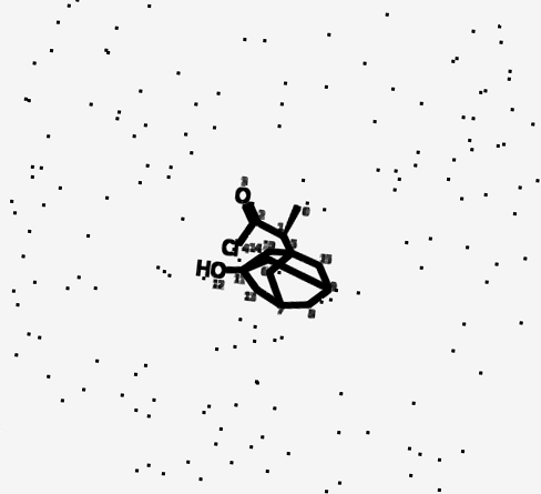 C[C@H](C(=O)Cl)C12CC3CC(CC(O)(C3)C1)C2